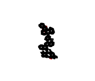 Cc1cc(C)c(B(c2c(C)cc(C)cc2C)c2cc3c4cccc5c4c(cc3c3ccccc23)-c2ccc(N(c3ccccc3-c3ccccc3)c3cccc4c3ccc3ccccc34)cc2O5)c(C)c1